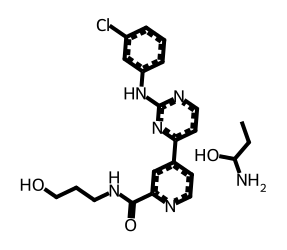 CCC(N)O.O=C(NCCCO)c1cc(-c2ccnc(Nc3cccc(Cl)c3)n2)ccn1